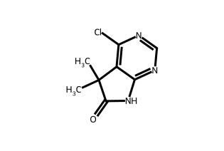 CC1(C)C(=O)Nc2ncnc(Cl)c21